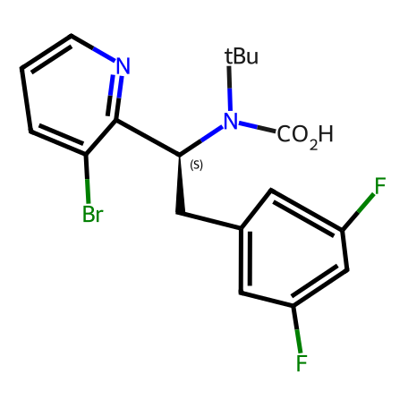 CC(C)(C)N(C(=O)O)[C@@H](Cc1cc(F)cc(F)c1)c1ncccc1Br